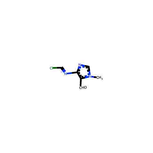 Cn1cnc(/N=C/Cl)c1C=O